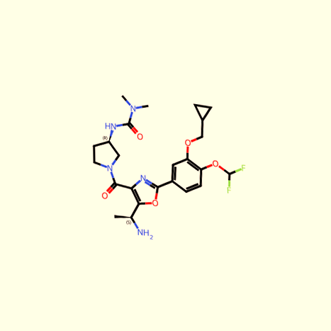 C[C@H](N)c1oc(-c2ccc(OC(F)F)c(OCC3CC3)c2)nc1C(=O)N1CC[C@@H](NC(=O)N(C)C)C1